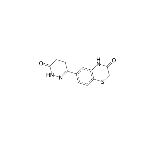 O=C1CCC(c2ccc3c(c2)NC(=O)CS3)=NN1